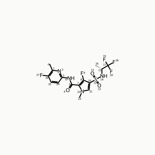 Cc1nc(NC(=O)c2c(F)c(S(=O)(=O)N[C@H](C)C(F)(F)F)cn2C)ccc1F